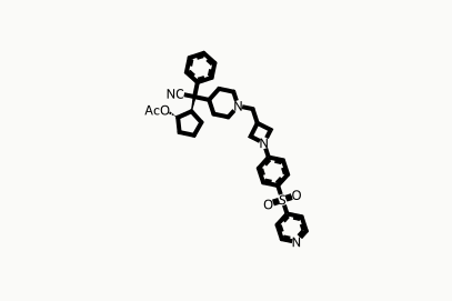 CC(=O)O[C@H]1CCC[C@@H]1C(C#N)(c1ccccc1)C1CCN(CC2CN(c3ccc(S(=O)(=O)c4ccncc4)cc3)C2)CC1